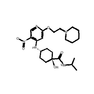 CC(C)NC(=O)[C@]1(O)CC[C@H](Nc2cc(OCCN3CCCCC3)ncc2[N+](=O)[O-])CC1